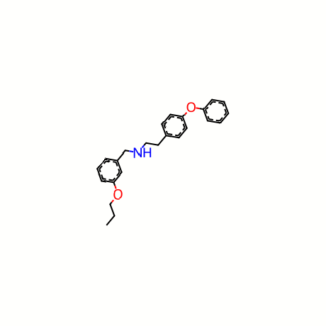 CCCOc1cccc(CNCCc2ccc(Oc3ccccc3)cc2)c1